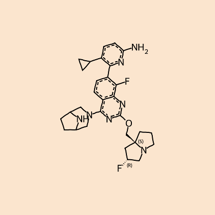 Nc1ccc(C2CC2)c(-c2ccc3c(N4CC5CCC(C4)N5)nc(OC[C@@]45CCCN4C[C@H](F)C5)nc3c2F)n1